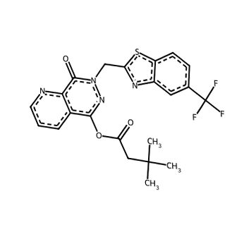 CC(C)(C)CC(=O)Oc1nn(Cc2nc3cc(C(F)(F)F)ccc3s2)c(=O)c2ncccc12